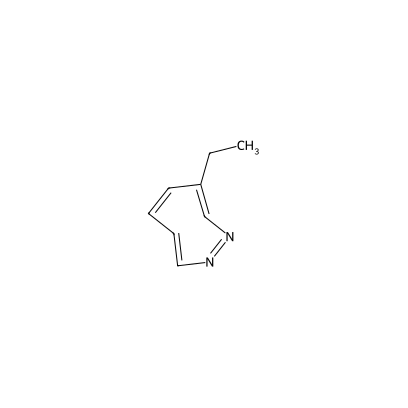 CCC1=C\N=N/C=C/C=C\1